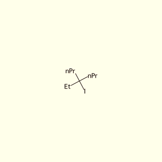 CCCC(I)(CC)CCC